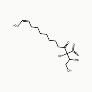 CCCCCCCC/C=C\CCCCCCCC(=O)C(O)(C(O)CO)P(=O)=O